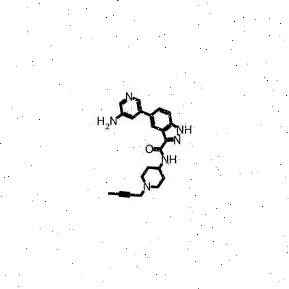 CC#CCN1CCC(NC(=O)c2n[nH]c3ccc(-c4cncc(N)c4)cc23)CC1